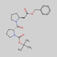 CC(C)(C)OC(=O)N1CCC[C@@H]1C(=O)N1CCC[C@H]1CC(=O)OCc1ccccc1